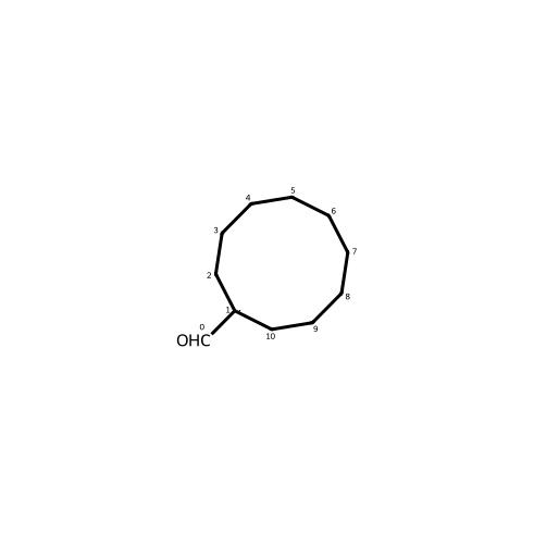 O=C[C]1CCCCCCCCC1